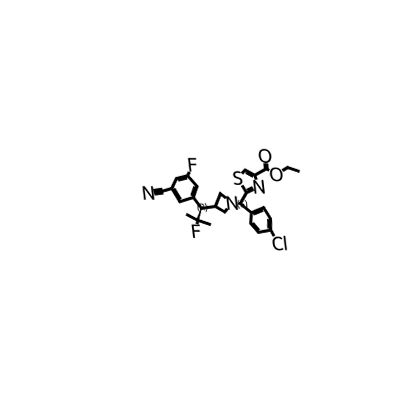 CCOC(=O)c1csc([C@H](c2ccc(Cl)cc2)N2CC([C@H](c3cc(F)cc(C#N)c3)C(C)(C)F)C2)n1